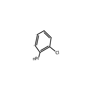 CCCc1[c][c]ccc1Cl